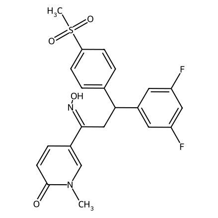 Cn1cc(/C(CC(c2ccc(S(C)(=O)=O)cc2)c2cc(F)cc(F)c2)=N/O)ccc1=O